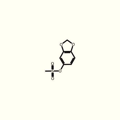 CS(=O)(=O)Oc1ccc2c(c1)OCO2